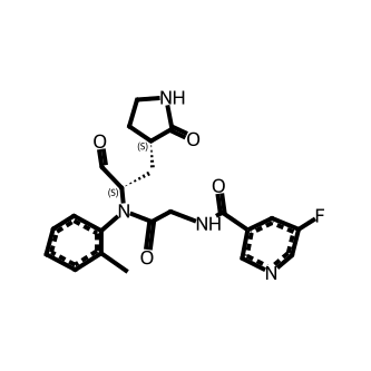 Cc1ccccc1N(C(=O)CNC(=O)c1cncc(F)c1)[C@H](C=O)C[C@@H]1CCNC1=O